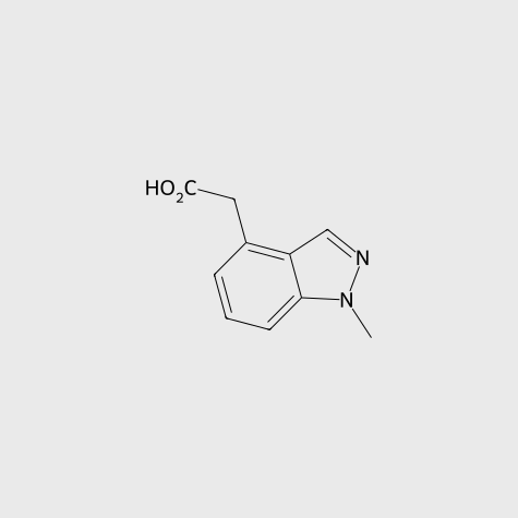 Cn1ncc2c(CC(=O)O)cccc21